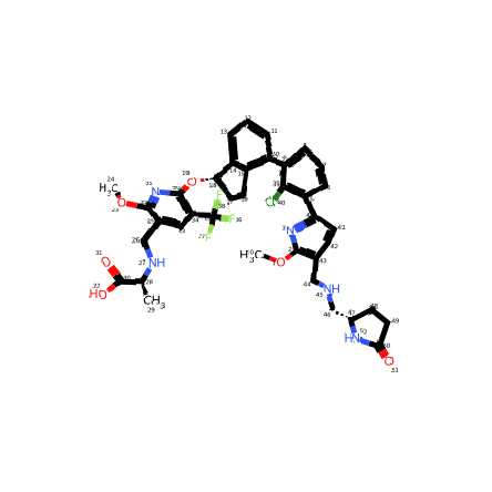 COc1nc(-c2cccc(-c3cccc4c3CC[C@@H]4Oc3nc(OC)c(CN[C@@H](C)C(=O)O)cc3C(F)(F)F)c2Cl)ccc1CNC[C@@H]1CCC(=O)N1